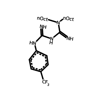 CCCCCCCCN(CCCCCCCC)C(=N)NC(=N)Nc1ccc(C(F)(F)F)cc1